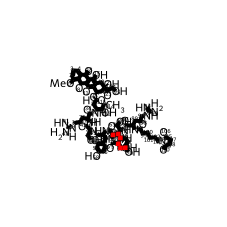 COc1cccc2c1C(=O)c1c(O)c3c(c(O)c1C2=O)C[C@](O)(C(=O)CO)C[C@H]3O[C@@H]1C[C@@H](NC(=O)C(CCCNC(=N)N)NC(=O)C(CO)NC(=O)C(Cc2ccc(O)cc2)NC(=O)C(Cc2ccc(O)cc2)NC(=O)C(CO)NC(=O)C(CO)NC(=O)C(CCCNC(=N)N)NC(=O)CCCCCN2C(=O)C=CC2=O)[C@@H](O)[C@@H](C)O1